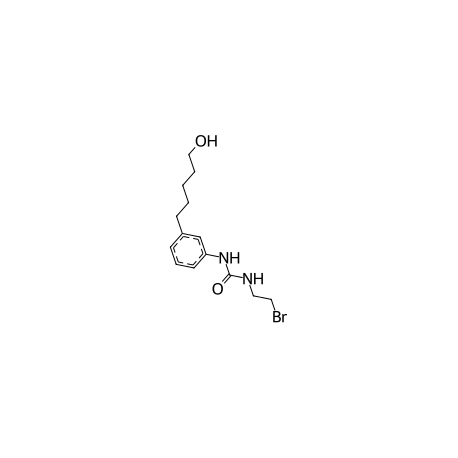 O=C(NCCBr)Nc1cccc(CCCCCO)c1